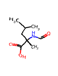 CC(C)CC(C)(NC=O)C(=O)O